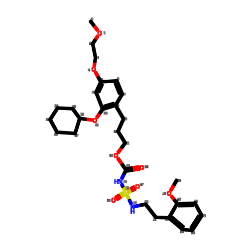 COCCOc1ccc(CCCOC(=O)NS(=O)(=O)NCCc2ccccc2OC)c(OC2CCCCC2)c1